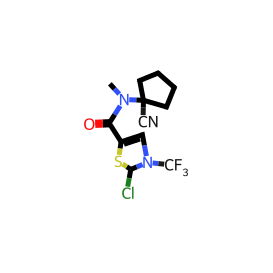 CN(C(=O)C1=CN(C(F)(F)F)C(Cl)S1)C1(C#N)CCCC1